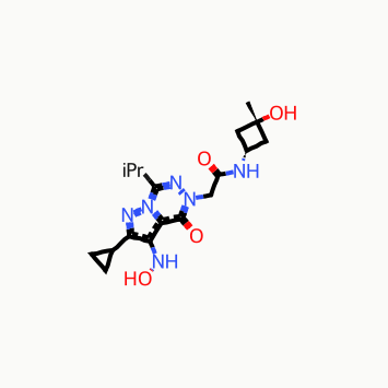 CC(C)c1nn(CC(=O)N[C@H]2C[C@@](C)(O)C2)c(=O)c2c(NO)c(C3CC3)nn12